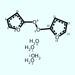 O.O.O.O.c1coc(OOc2ccco2)c1